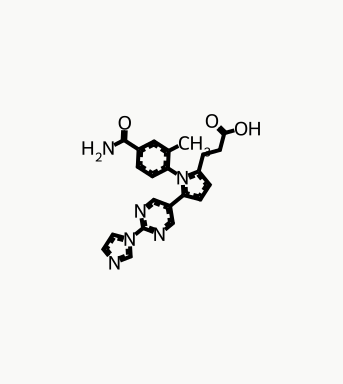 Cc1cc(C(N)=O)ccc1-n1c(CCC(=O)O)ccc1-c1cnc(-n2ccnc2)nc1